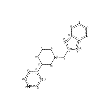 c1ccc2[nH]c(CN3CCCC(c4ccncn4)C3)nc2c1